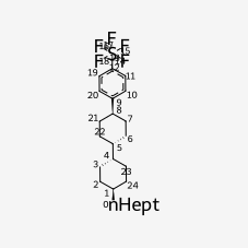 CCCCCCC[C@H]1CC[C@H]([C@H]2CC[C@H](c3ccc(S(F)(F)(F)(F)F)cc3)CC2)CC1